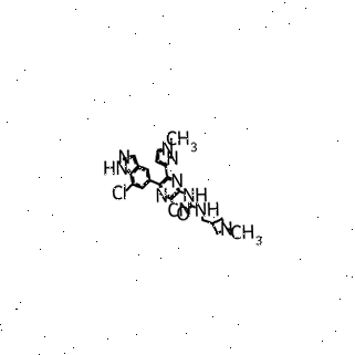 CN1CC(CNC(=O)Nc2nc(-c3ccn(C)n3)c(-c3cc(Cl)c4[nH]ncc4c3)nc2C#N)C1